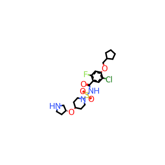 O=C(NS(=O)(=O)N1CCC(O[C@@H]2CCNC2)CC1)c1cc(Cl)c(OCC2CCCC2)cc1F